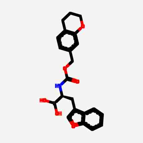 O=C(N[C@@H](Cc1coc2ccccc12)B(O)O)OCc1ccc2c(c1)OCCC2